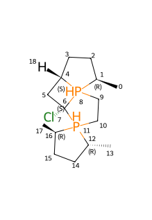 C[C@@H]1CC[C@H]2C[C@@]3(Cl)[PH]21CC[PH]31[C@H](C)CC[C@H]1C